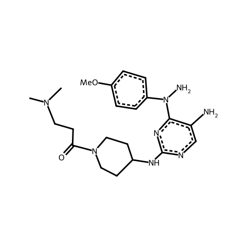 COc1ccc(N(N)c2nc(NC3CCN(C(=O)CCN(C)C)CC3)ncc2N)cc1